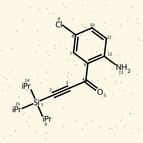 CC(C)[Si](C#CC(=O)c1cc(Cl)ccc1N)(C(C)C)C(C)C